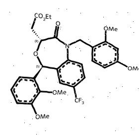 CCOC(=O)C[C@H]1O[C@H](c2cccc(OC)c2OC)c2cc(C(F)(F)F)ccc2N(Cc2ccc(OC)cc2OC)C1=O